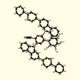 N#Cc1cc(-n2c3ccccc3c3ccc(-c4ccc(-c5ccccc5)nc4)cc32)c(-c2c(F)c(F)c(F)c(F)c2F)cc1-n1c2ccccc2c2ccc(-c3ccc(-c4ccccc4)nc3)cc21